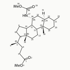 COC(=O)CC[C@@H](C)C1CCC2C3C(CC[C@@]21C)[C@@]1(C)CCC(C)C[C@@H]1C[C@H]3NC(=O)OC